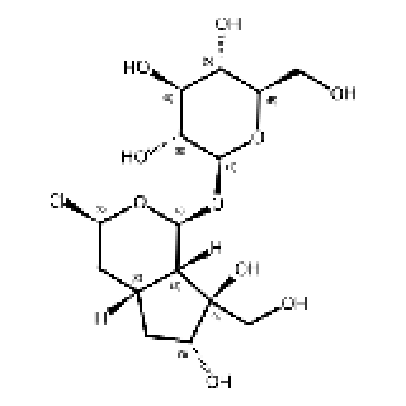 OC[C@H]1O[C@@H](O[C@@H]2O[C@H](Cl)C[C@H]3C[C@@H](O)[C@@](O)(CO)[C@H]32)[C@H](O)[C@@H](O)[C@@H]1O